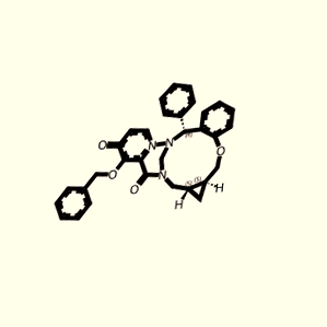 O=C1c2c(OCc3ccccc3)c(=O)ccn2N2CN1C[C@H]1C[C@@H]1COc1ccccc1[C@H]2c1ccccc1